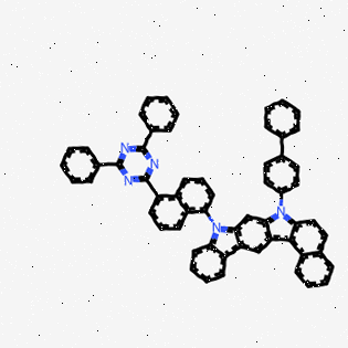 c1ccc(-c2ccc(-n3c4cc5c(cc4c4c6ccccc6ccc43)c3ccccc3n5-c3cccc4c(-c5nc(-c6ccccc6)nc(-c6ccccc6)n5)cccc34)cc2)cc1